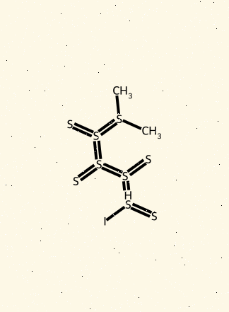 CS(C)=S(=S)=S(=S)=S(=S)=[SH](=S)I